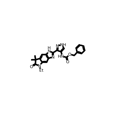 CCN1C(=O)C(C)(C)c2cc3[nH]c(-c4n[nH]cc4NC(=O)OCc4ccccc4)nc3cc21